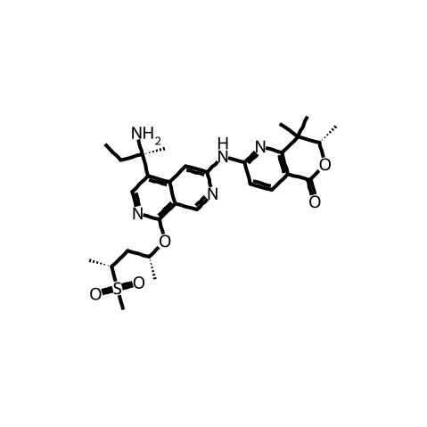 CC[C@@](C)(N)c1cnc(O[C@H](C)C[C@@H](C)S(C)(=O)=O)c2cnc(Nc3ccc4c(n3)C(C)(C)[C@H](C)OC4=O)cc12